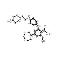 N=Cc1nc(N2CCCCCC2)nc(Nc2ccc(OCCN3CCC(O)CC3)cc2)c1C(N)=O